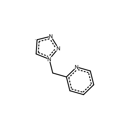 [c]1cn(Cc2ccccn2)nn1